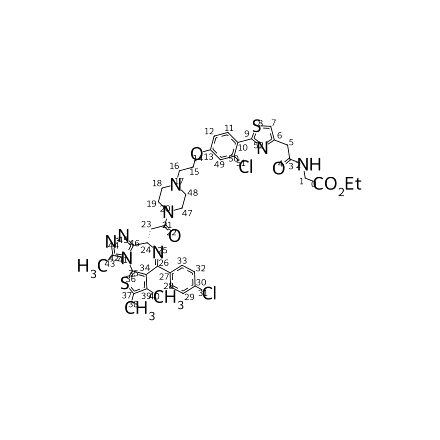 CCOC(=O)CNC(=O)Cc1csc(-c2ccc(OCCN3CCN(C(=O)C[C@@H]4N=C(c5ccc(Cl)cc5)c5c(sc(C)c5C)-n5c(C)nnc54)CC3)cc2Cl)n1